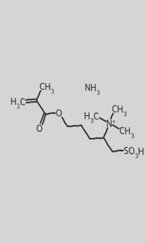 C=C(C)C(=O)OCCCC(CS(=O)(=O)O)[N+](C)(C)C.N